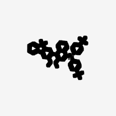 CCc1cc2c(cc1-c1c(CC)cc(N(c3ccc(C(C)(C)C)cc3)c3ccc(C(C)(C)C)cc3)c3ccccc13)C(C)(C)c1ccccc1-2